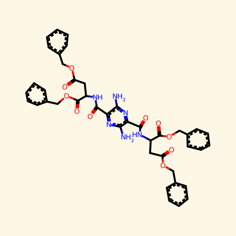 Nc1nc(C(=O)NC(CC(=O)OCc2ccccc2)C(=O)OCc2ccccc2)c(N)nc1C(=O)NC(CC(=O)OCc1ccccc1)C(=O)OCc1ccccc1